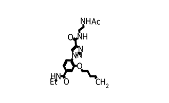 C=CCCCOc1cc(C(=O)NCC)ccc1-n1cc(C(=O)NCCNC(C)=O)nn1